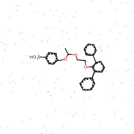 CC(OCCOc1c(-c2ccccc2)cccc1-c1ccccc1)Oc1ccc(S(=O)(=O)O)cc1